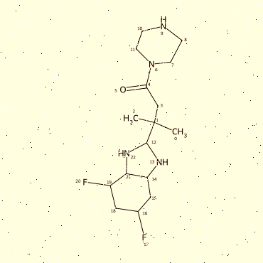 CC(C)(CC(=O)N1CCNCC1)C1NC2CC(F)CC(F)C2N1